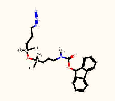 CN(CCC[Si](C)(C)O[Si](C)(C)CCCN=[N+]=[N-])C(=O)OC1c2ccccc2-c2ccccc21